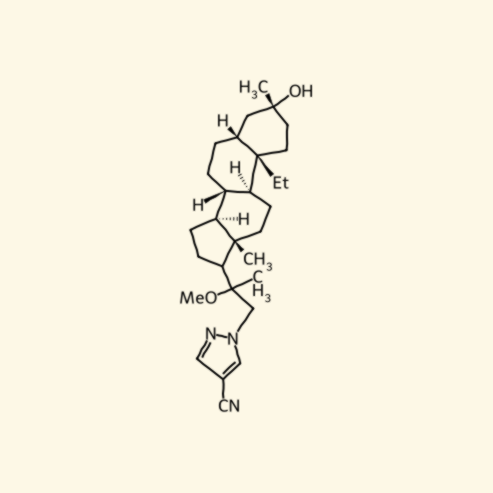 CC[C@]12CC[C@@](C)(O)C[C@H]1CC[C@@H]1[C@@H]2CC[C@]2(C)C(C(C)(Cn3cc(C#N)cn3)OC)CC[C@@H]12